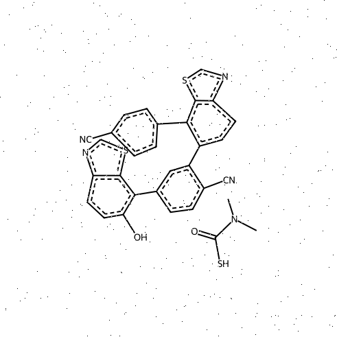 CN(C)C(=O)S.N#Cc1ccc(-c2c(-c3cc(-c4c(O)ccc5ncsc45)ccc3C#N)ccc3ncsc23)cc1